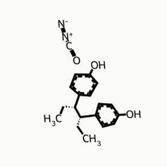 CC[C@H](c1ccc(O)cc1)[C@@H](CC)c1ccc(O)cc1.[N-]=[N+]=C=O